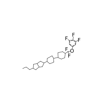 CCCC1CC2CC(C3CCC(C4CCC(C(F)(F)Oc5cc(F)c(F)c(F)c5)CC4)CC3)CC2C1